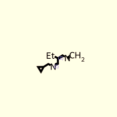 C=N/C=C(\C=N/CC1CC1)CC